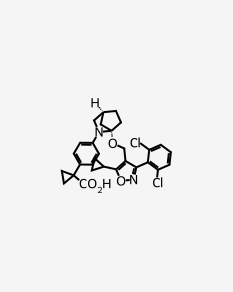 O=C(O)C1(c2ccc(N3C[C@H]4CC[C@]3(OCc3c(-c5c(Cl)cccc5Cl)noc3C3CC3)C4)cc2)CC1